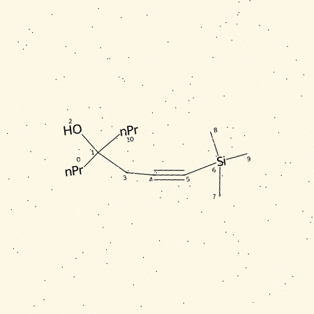 CCCC(O)(CC#C[Si](C)(C)C)CCC